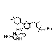 CC(Cc1ccc(NC(=O)c2nc(C#N)c[nH]2)c(C2=CCC(C)(C)CC2)n1)CC(C)(C)OC(C)(C)C